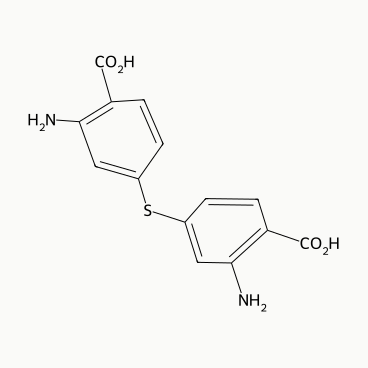 Nc1cc(Sc2ccc(C(=O)O)c(N)c2)ccc1C(=O)O